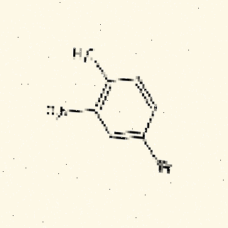 Cc1ccc(C(C)C)cc1[N+](=O)[O-]